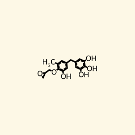 Cc1cc(Cc2cc(O)c(O)c(O)c2)cc(O)c1OCC1CO1